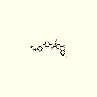 CCCNc1cc(Oc2ccc(NC(=O)c3nn(-c4ccc(Br)cc4F)c(=O)cc3C)cc2)ccn1